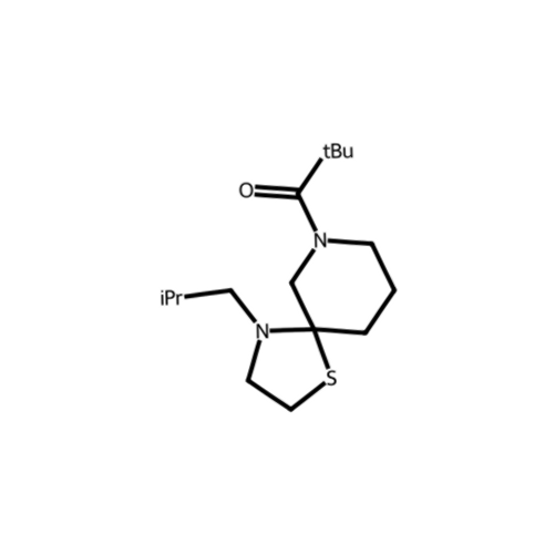 CC(C)CN1CCSC12CCCN(C(=O)C(C)(C)C)C2